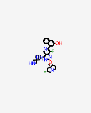 CC1(CNc2nc(OC[C@@]34CCCN3C[C@H](F)C4)nc3c(F)c(-c4cc(O)cc5ccccc45)ncc23)CNC1